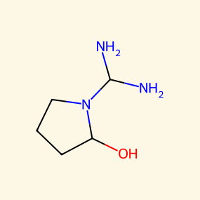 NC(N)N1CCCC1O